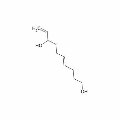 C=CC(O)CC/C=C/CCCO